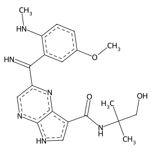 CNc1ccc(OC)cc1C(=N)c1cnc2[nH]cc(C(=O)NC(C)(C)CO)c2n1